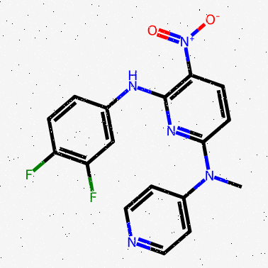 CN(c1ccncc1)c1ccc([N+](=O)[O-])c(Nc2ccc(F)c(F)c2)n1